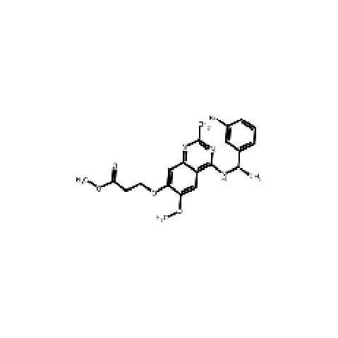 COC(=O)CCOc1cc2nc(C)nc(N[C@H](C)c3cccc(Br)c3)c2cc1OC